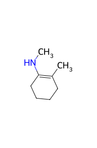 CNC1=C(C)CCCC1